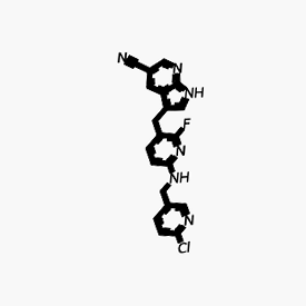 N#Cc1cnc2[nH]cc(Cc3ccc(NCc4ccc(Cl)nc4)nc3F)c2c1